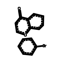 Brc1ccccc1.O=c1ccoc2ccccc12